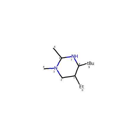 CCC1CN(C)C(C)NC1C(C)(C)C